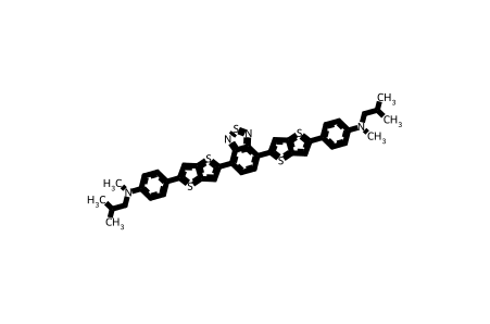 CC(C)CN(C)c1ccc(-c2cc3sc(-c4ccc(-c5cc6sc(-c7ccc(N(C)CC(C)C)cc7)cc6s5)c5nsnc45)cc3s2)cc1